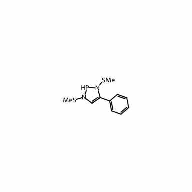 CSN1C=C(c2ccccc2)N(SC)P1